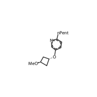 CCCCCc1ccc(O[C@H]2C[C@H](OC)C2)cn1